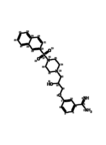 N=C(N)c1cccc(OCC(O)CN2CCN(S(=O)(=O)c3ccc4ccccc4c3)CC2)c1